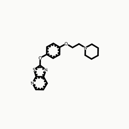 c1cnc2sc(Oc3ccc(OCCN4CCCCC4)cc3)nc2c1